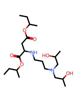 CCC(C)OC(=O)CC(NCCCN(CC(C)O)CC(C)O)C(=O)OC(C)CC